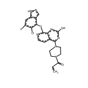 C=CC(=O)N1CCN(c2nc(O)nc3c(Oc4c(Cl)c(F)cc5[nH]ncc45)nccc23)CC1